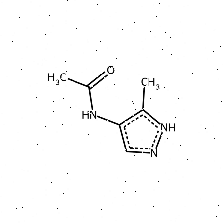 CC(=O)Nc1cn[nH]c1C